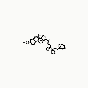 CCN(CCc1ccccn1)C(=O)CC[C@@H](C)[C@H]1CC[C@H]2[C@@H]3CC=C4C[C@@H](O)CC[C@]4(C)[C@H]3CC[C@]12C